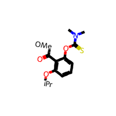 COC(=O)c1c(OC(=S)N(C)C)cccc1OC(C)C